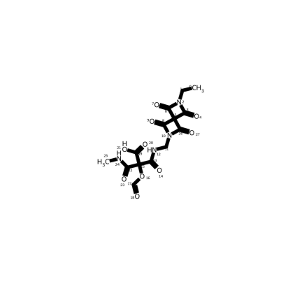 CCN1C(=O)C2(C1=O)C(=O)N(CNC(=O)C(OC=O)(C(=O)O)C(=O)NC)C2=O